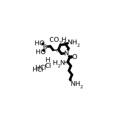 Cl.Cl.Cl.NCCCC[C@H](N)C(=O)N1C[C@@H](CCB(O)O)C[C@](N)(C(=O)O)C1